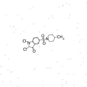 CC1CCN(S(=O)(=O)c2ccc3c(c2)C(=O)C(Cl)N3Cl)CC1